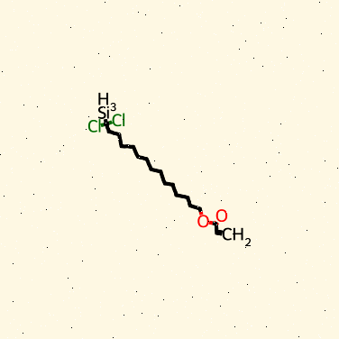 C=CC(=O)OCCCCCCCCCCCCCCC([SiH3])(Cl)Cl